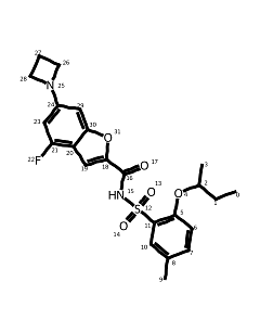 CCC(C)Oc1ccc(C)cc1S(=O)(=O)NC(=O)c1cc2c(F)cc(N3CCC3)cc2o1